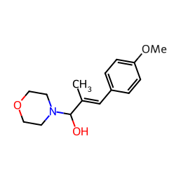 COc1ccc(/C=C(\C)C(O)N2CCOCC2)cc1